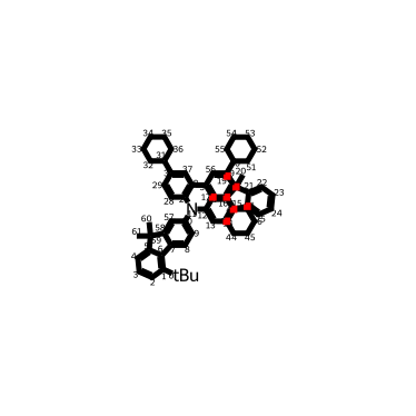 CC(C)(C)c1cccc2c1-c1ccc(N(c3ccc4c(c3)C(C)(C)c3ccccc3-4)c3ccc(C4CCCCC4)cc3-c3cc(C4CCCCC4)cc(C4CCCCC4)c3)cc1C2(C)C